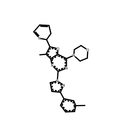 Cc1cccc(-c2ccn(-c3nc(N4CCOCC4)c4oc(C5CC=CC=N5)c(C)c4n3)n2)c1